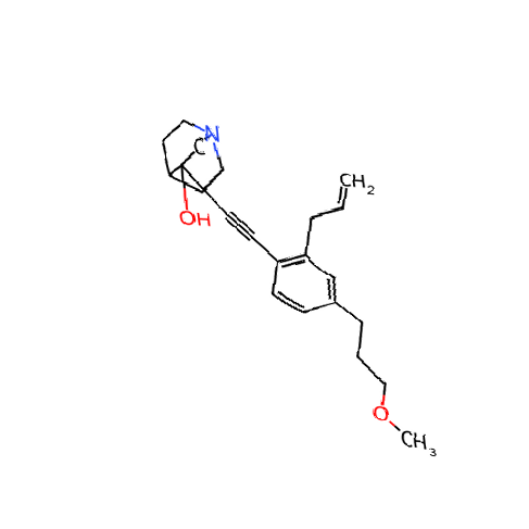 C=CCc1cc(CCCOC)ccc1C#CC1(O)CN2CCC1CC2